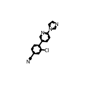 N#Cc1ccc(-c2ccc(-n3ccnc3)nc2)c(Cl)c1